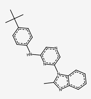 Cc1nc2ccccc2n1-c1cncc(Nc2ccc(C(C)(C)C)cc2)n1